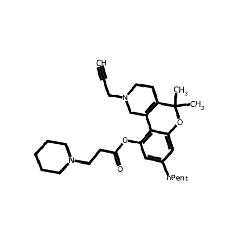 C#CCN1CCC2=C(C1)c1c(OC(=O)CCN3CCCCC3)cc(CCCCC)cc1OC2(C)C